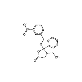 O=C1CN(CO)C(OCc2cccc([N+](=O)[O-])c2)(c2ccccc2)O1